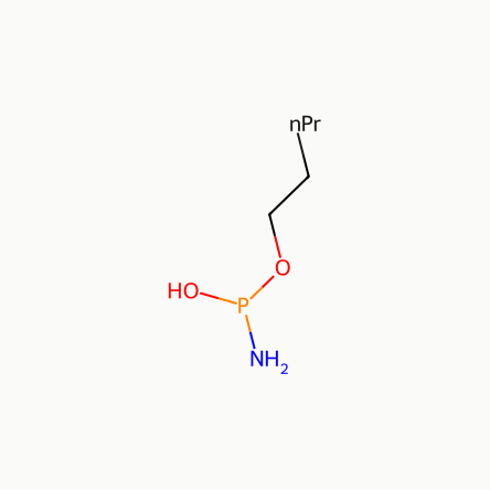 CCCCCOP(N)O